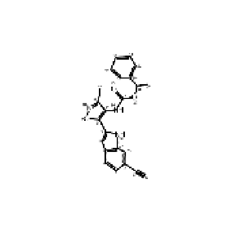 C#Cc1ccc2cc(-c3onc(C)c3NC(=O)OC(C)c3ccccc3)[nH]c2c1